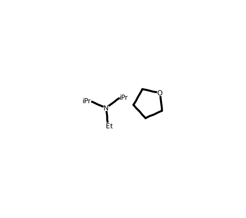 C1CCOC1.CCN(C(C)C)C(C)C